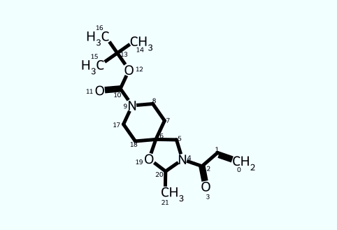 C=CC(=O)N1CC2(CCN(C(=O)OC(C)(C)C)CC2)OC1C